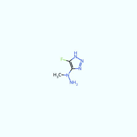 CN(N)c1nn[nH]c1F